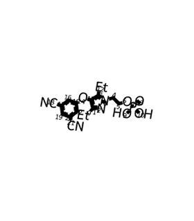 CCc1nn(CCOP(=O)(O)O)c(CC)c1Oc1cc(C#N)cc(C#N)c1